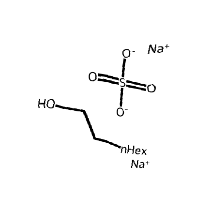 CCCCCCCCO.O=S(=O)([O-])[O-].[Na+].[Na+]